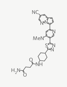 CNc1cc(-c2ccc3cc(C#N)cnn23)ncc1-c1nnc(C2CCC(NC(=O)CCC(N)=O)CC2)s1